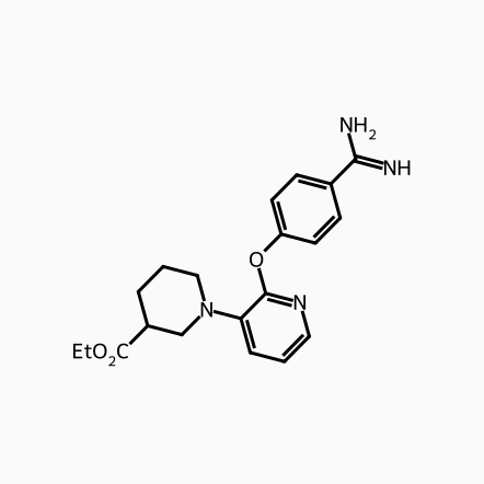 CCOC(=O)C1CCCN(c2cccnc2Oc2ccc(C(=N)N)cc2)C1